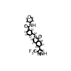 O=C(NC1CCOCC1)c1cccc(Cn2ccc3cc(-c4c[nH]nc4C(F)(F)F)ccc3c2=O)c1